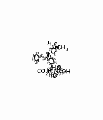 CN(C)c1ccc(-n2cc(CCc3ccccc3)c3cc(CCC(=O)O)ccc32)cc1.NC(CO)(CO)CO